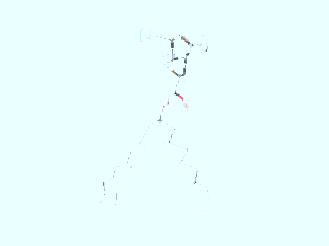 CCCCCCCCC(CCCCCCCC)OC(=O)c1cc2c(Br)sc(Br)c2s1